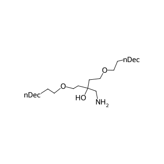 CCCCCCCCCCCCOCCC(O)(CN)CCOCCCCCCCCCCCC